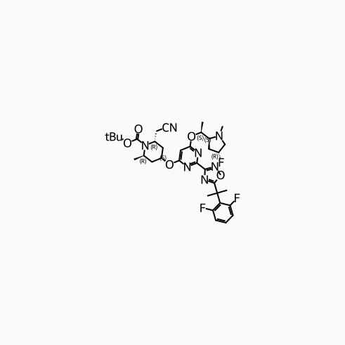 C[C@H](Oc1cc(O[C@@H]2C[C@@H](CC#N)N(C(=O)OC(C)(C)C)[C@H](C)C2)nc(-c2noc(C(C)(C)c3c(F)cccc3F)n2)n1)[C@@H]1C[C@@H](F)CN1C